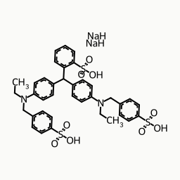 CCN(Cc1ccc(S(=O)(=O)O)cc1)c1ccc(C(c2ccc(N(CC)Cc3ccc(S(=O)(=O)O)cc3)cc2)c2ccccc2S(=O)(=O)O)cc1.[NaH].[NaH]